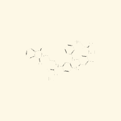 CC1=CC2=Nc3cc(C)c(N(CCCN4C(=O)c5ccccc5C4=O)C(=O)OC(C)(C)C)cc3N(c3ccccc3)C2C=C1NC(=O)OC(C)(C)C